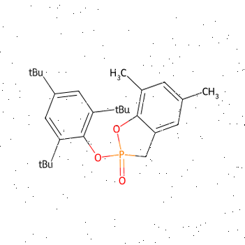 Cc1cc(C)c2c(c1)CP(=O)(Oc1c(C(C)(C)C)cc(C(C)(C)C)cc1C(C)(C)C)O2